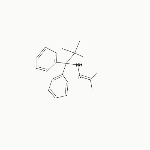 CC(C)=NNC(c1ccccc1)(c1ccccc1)C(C)(C)C